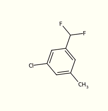 Cc1cc(Cl)cc(C(F)F)c1